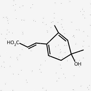 CC1=CC(C)(O)CC=C1/C=C/C(=O)O